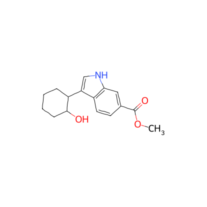 COC(=O)c1ccc2c(C3CCCCC3O)c[nH]c2c1